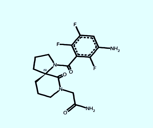 NC(=O)CN1CCC[C@]2(CCCN2C(=O)c2c(F)c(N)cc(F)c2F)C1=O